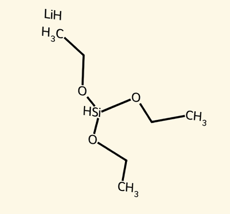 CCO[SiH](OCC)OCC.[LiH]